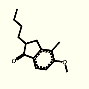 CCCCC1Cc2c(ccc(OC)c2C)C1=O